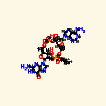 Nc1nc2c(ncn2[C@@H]2O[C@@H]3COP(=O)([O-])O[C@H]4[C@@H](O)[C@H](n5cnc6c(N)ncnc65)O[C@@H]4COP(=O)([O-])O[C@@H]2[C@@H]3O)c(=O)[nH]1.[Na+].[Na+]